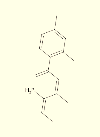 C=C(/C=C(C)\C(P)=C/C)c1ccc(C)cc1C